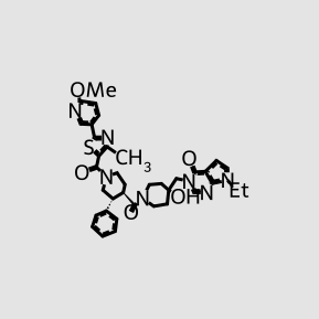 CCn1ccc2c(=O)n(CC3(O)CCN(C(=O)[C@@H]4CCN(C(=O)c5sc(-c6ccc(OC)nc6)nc5C)C[C@H]4c4ccccc4)CC3)cnc21